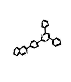 c1ccc(-c2cc(-c3ccccc3)nc(-c3ccc(-c4cc5ccccc5cn4)cc3)n2)cc1